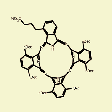 CCCCCCCCCCc1ccc(CCCCCCCCCC)c2c1-c1nc-2nc2[nH]c(nc3nc(nc4[nH]c(n1)c1cccc(CCCC(=O)O)c41)-c1c(CCCCCCCCCC)ccc(CCCCCCCCCC)c1-3)c1c(CCCCCCCCCC)ccc(CCCCCCCCCC)c21